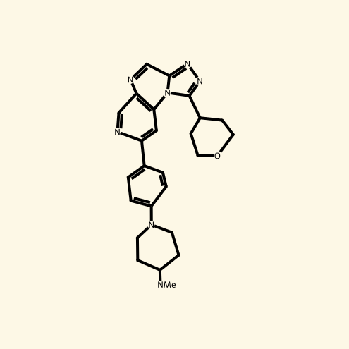 CNC1CCN(c2ccc(-c3cc4c(cn3)ncc3nnc(C5CCOCC5)n34)cc2)CC1